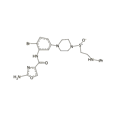 CC(C)NCC[S+]([O-])N1CCN(c2ccc(Br)c(NC(=O)c3coc(N)n3)c2)CC1